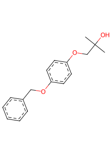 CC(C)(O)COc1ccc(OCc2ccccc2)cc1